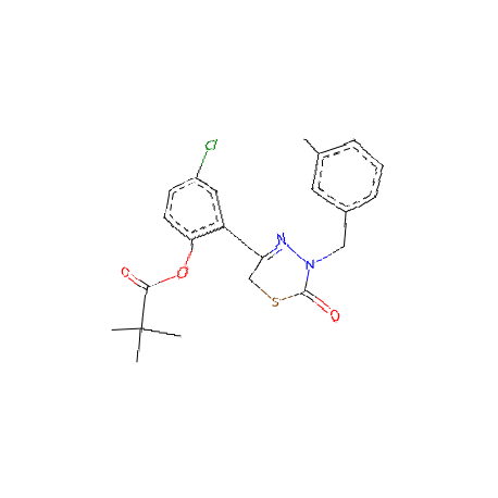 Cc1cccc(CN2N=C(c3cc(Cl)ccc3OC(=O)C(C)(C)C)CSC2=O)c1